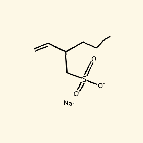 C=CC(CCC)CS(=O)(=O)[O-].[Na+]